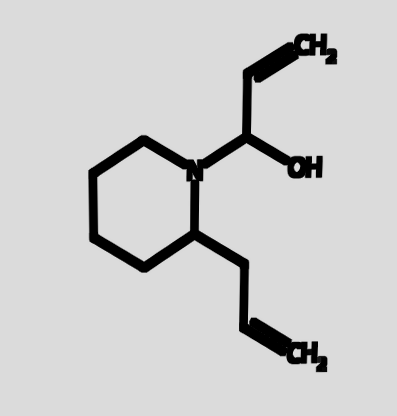 C=CCC1CCCCN1C(O)C=C